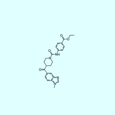 CCOC(=O)c1ccc(NC(=O)N2CCC(C(=O)c3ccc4c(c3)ncn4C)CC2)cc1